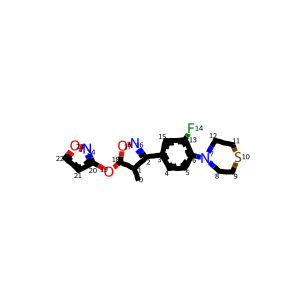 CC1C(c2ccc(N3CCSCC3)c(F)c2)=NOC1Oc1ccon1